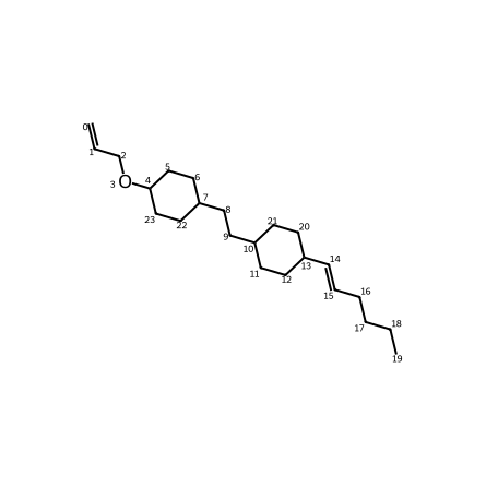 C=CCOC1CCC(CCC2CCC(C=CCCCC)CC2)CC1